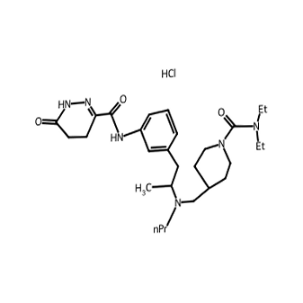 CCCN(CC1CCN(C(=O)N(CC)CC)CC1)C(C)Cc1cccc(NC(=O)C2=NNC(=O)CC2)c1.Cl